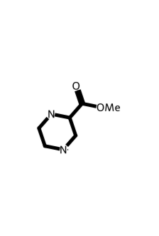 COC(=O)C1C[N]CC[N]1